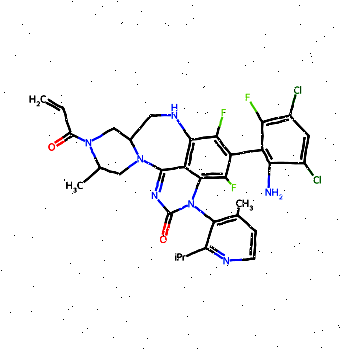 C=CC(=O)N1CC2CNc3c(F)c(-c4c(N)c(Cl)cc(Cl)c4F)c(F)c4c3c(nc(=O)n4-c3c(C)ccnc3C(C)C)N2CC1C